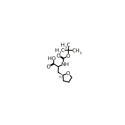 CC(C)(C)OC(=O)NC(C[C@@H]1CCCO1)C(=O)O